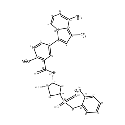 COc1ncc(-c2cc(C(F)(F)F)c3c(N)ncnn23)cc1C(=O)N[C@@H]1CN(S(=O)(=O)Cc2ccccc2[N+](=O)[O-])C[C@@H]1F